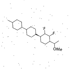 COC(C)C1CC[C@@H](C2CCC(C3CCC(C)CC3)CC2)C(F)C1F